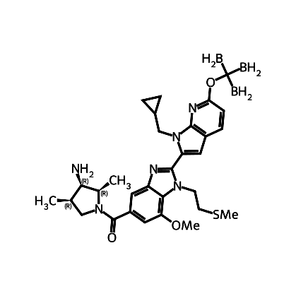 BC(B)(B)Oc1ccc2cc(-c3nc4cc(C(=O)N5C[C@@H](C)[C@@H](N)[C@H]5C)cc(OC)c4n3CCSC)n(CC3CC3)c2n1